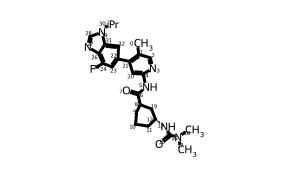 Cc1cnc(NC(=O)C2CCC[C@@H](NC(=O)N(C)C)C2)cc1-c1cc(F)c2ncn(C(C)C)c2c1